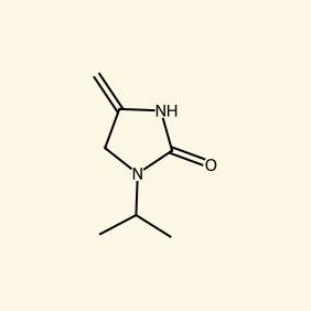 C=C1CN(C(C)C)C(=O)N1